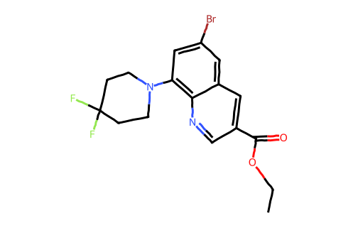 CCOC(=O)c1cnc2c(N3CCC(F)(F)CC3)cc(Br)cc2c1